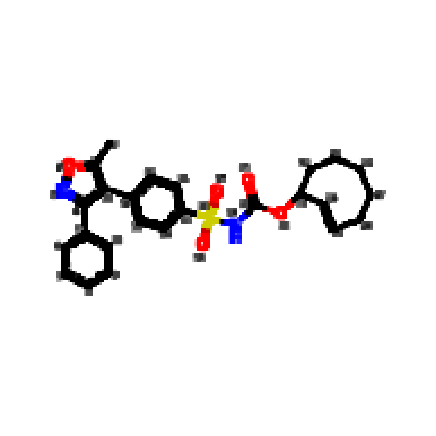 Cc1onc(-c2ccccc2)c1-c1ccc(S(=O)(=O)NC(=O)OC2/C=C/CCCCC2)cc1